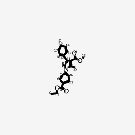 CCOC(=O)c1ccc(-n2nc(-c3ccc(F)cc3)c(C(=O)OC)c2C)cc1